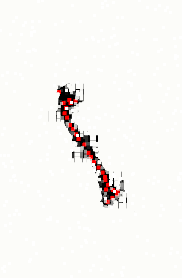 C[C@H]1CCCCN1C1Cc2c(Cl)cc(Cl)cc2[C@@H]1Oc1ccc(S(=O)(=O)NCCOCCOCCNC(=O)NCCCCNC(=O)NCCOCCOCCNS(=O)(=O)c2ccc(O[C@H]3c4cc(Cl)cc(Cl)c4C[C@@H]3N3CCCC[C@@H]3C)cc2)cc1